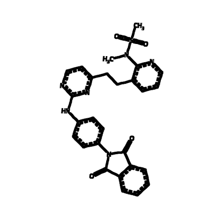 CN(c1ncccc1CCc1ccnc(Nc2ccc(N3C(=O)c4ccccc4C3=O)cc2)n1)S(C)(=O)=O